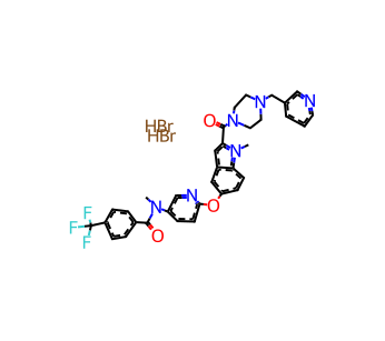 Br.Br.CN(C(=O)c1ccc(C(F)(F)F)cc1)c1ccc(Oc2ccc3c(c2)cc(C(=O)N2CCN(Cc4cccnc4)CC2)n3C)nc1